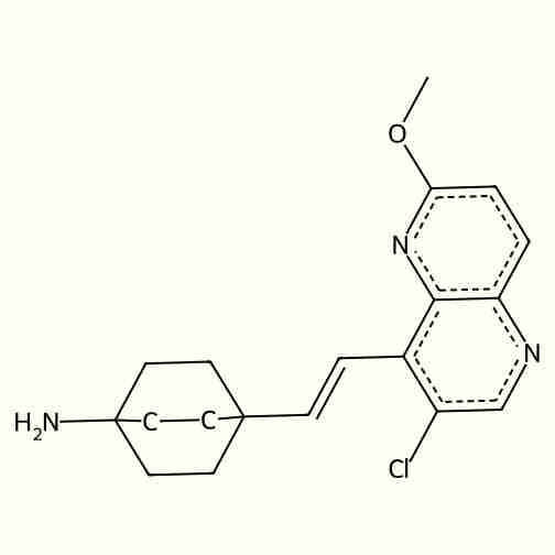 COc1ccc2ncc(Cl)c(/C=C/C34CCC(N)(CC3)CC4)c2n1